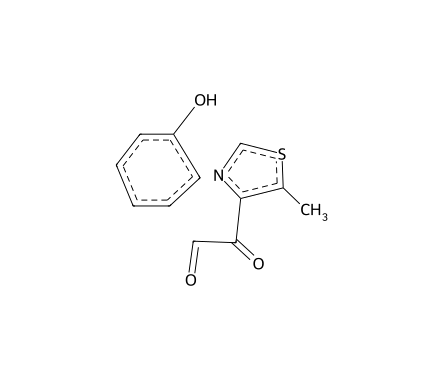 Cc1scnc1C(=O)C=O.Oc1ccccc1